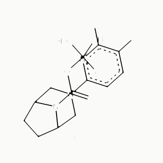 CC(C)(C)OC(=O)N1C2CC[C@@H]1CN(c1ccc(Cl)c(F)n1)C2